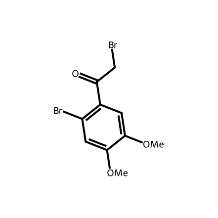 COc1cc(Br)c(C(=O)CBr)cc1OC